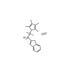 CC1=C(C)[CH]([Zr]([CH3])([CH3])[SiH2]C2=Cc3ccccc3C2)C(C)=C1C.[Cl-].[Cl-]